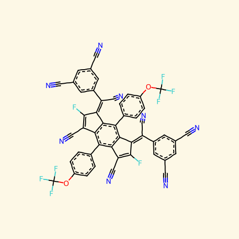 N#CC1=C(F)/C(=C(/C#N)c2cc(C#N)cc(C#N)c2)c2c1c(-c1ccc(OC(F)(F)F)cc1)c1c(c2-c2ccc(OC(F)(F)F)cc2)/C(=C(\C#N)c2cc(C#N)cc(C#N)c2)C(F)=C1C#N